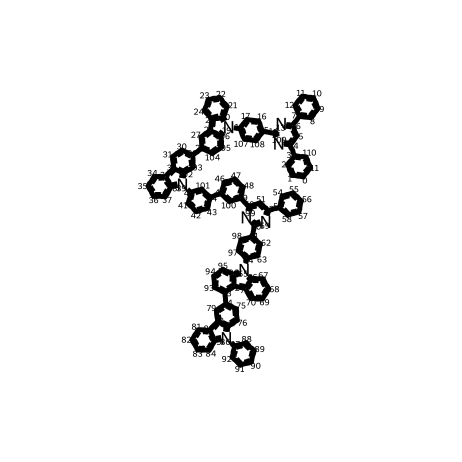 c1ccc(-c2cc(-c3ccccc3)nc(-c3ccc(-n4c5ccccc5c5cc(-c6ccc7c8ccccc8n(-c8cccc(-c9cccc(-c%10cc(-c%11ccccc%11)nc(-c%11ccc(-n%12c%13ccccc%13c%13c(-c%14ccc%15c(c%14)c%14ccccc%14n%15-c%14ccccc%14)cccc%13%12)cc%11)n%10)c9)c8)c7c6)ccc54)cc3)n2)cc1